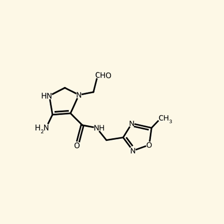 Cc1nc(CNC(=O)C2=C(N)NCN2CC=O)no1